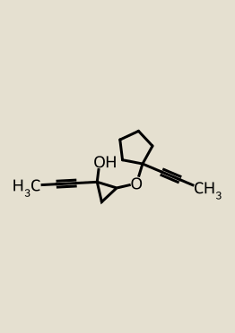 CC#CC1(OC2CC2(O)C#CC)CCCC1